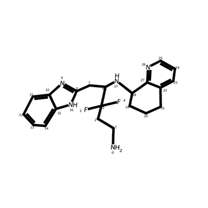 NCCC(F)(F)C(Cc1nc2ccccc2[nH]1)NC1CCCc2cccnc21